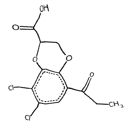 CCC(=O)c1cc(Cl)c(Cl)c2c1OCC(C(=O)O)O2